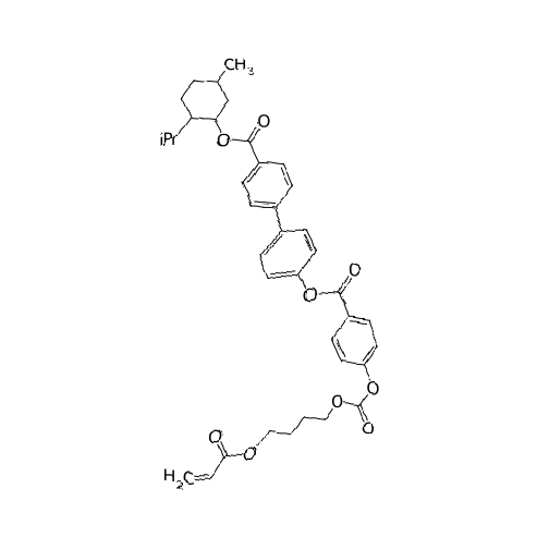 C=CC(=O)OCCCCOC(=O)Oc1ccc(C(=O)Oc2ccc(-c3ccc(C(=O)OC4CC(C)CCC4C(C)C)cc3)cc2)cc1